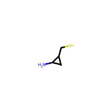 NC1CC1CS